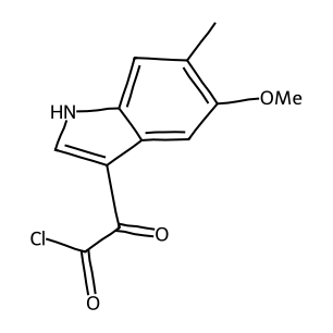 COc1cc2c(C(=O)C(=O)Cl)c[nH]c2cc1C